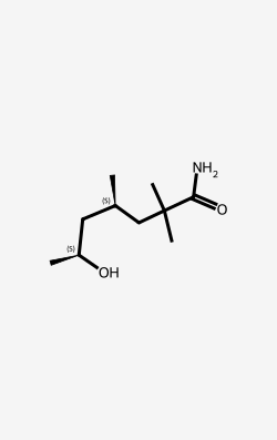 C[C@H](C[C@H](C)O)CC(C)(C)C(N)=O